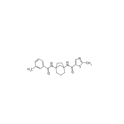 Cc1cccc(C(=O)NC23CCCC(NC(=O)c4cnc(C)s4)(CC2)C3)c1